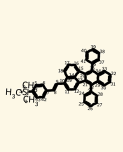 C[Si](C)(C)c1ccc(/C=C/c2ccc3c4c(cccc24)-c2c-3c(-c3ccccc3)c3ccccc3c2-c2ccccc2)cc1